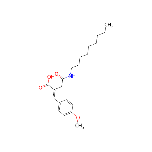 CCCCCCCCCNC(=O)C/C(=C\c1ccc(OC)cc1)C(=O)O